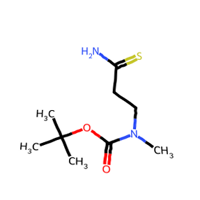 CN(CCC(N)=S)C(=O)OC(C)(C)C